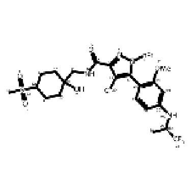 CCCn1nc(C(=O)NCC2(O)CCC(S(C)(=O)=O)CC2)c(Cl)c1-c1ccc(N[C@H](C)C(F)(F)F)cc1OC